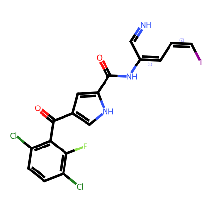 N=C/C(=C\C=C/I)NC(=O)c1cc(C(=O)c2c(Cl)ccc(Cl)c2F)c[nH]1